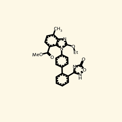 CCOc1nc2c(C)ccc(C(=O)OC)c2n1-c1ccc(-c2ccccc2-c2nc(=O)o[nH]2)cc1